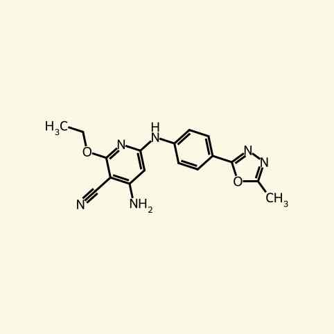 CCOc1nc(Nc2ccc(-c3nnc(C)o3)cc2)cc(N)c1C#N